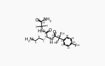 CC(C)(NC(=O)[C@@H](CCCN)NC(=O)C(F)(F)c1ccc(F)cc1)C(N)=O